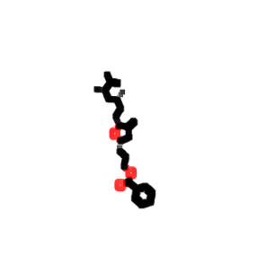 C=C(C)[C@H](C)C[C@H](C)CC[C@@H]1O[C@@H](CCCOC(=O)c2ccccc2)CC1=C